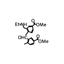 CCNCc1cc(C(=O)OC)ccc1C.COC(=O)c1ccc(C)c(C=O)c1